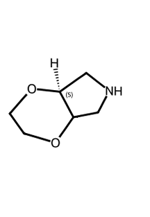 C1CO[C@H]2CNC[C]2O1